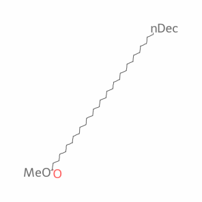 CCCCCCCCCCCCCCCCCCCCCCCCCCCCCCCCCCCCCCCCC(=O)OC